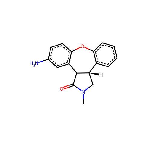 CN1C[C@H]2c3ccccc3Oc3ccc(N)cc3C2C1=O